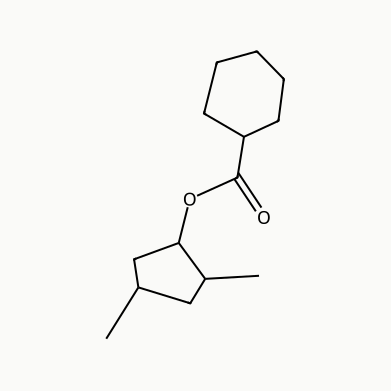 CC1CC(C)C(OC(=O)C2CCCCC2)C1